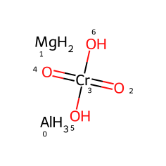 [AlH3].[MgH2].[O]=[Cr](=[O])([OH])[OH]